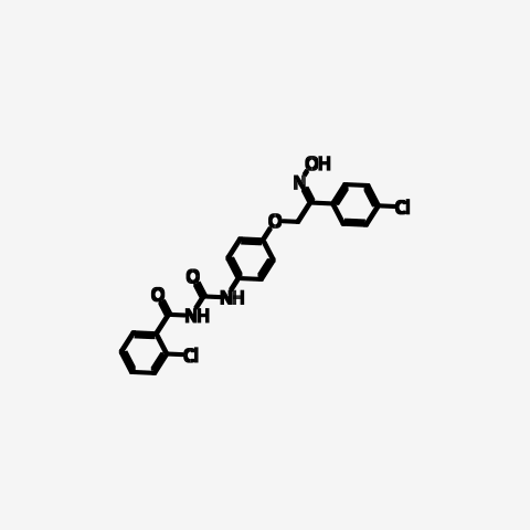 O=C(NC(=O)c1ccccc1Cl)Nc1ccc(OCC(=NO)c2ccc(Cl)cc2)cc1